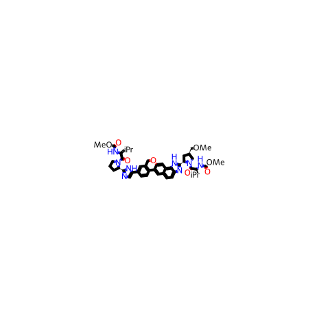 COC[C@H]1C[C@@H](c2nc3ccc4cc5c(cc4c3[nH]2)OCc2cc(-c3cnc([C@@H]4CCCN4C(=O)C(NC(=O)OC)C(C)C)[nH]3)ccc2-5)N(C(=O)[C@@H](NC(=O)OC)C(C)C)C1